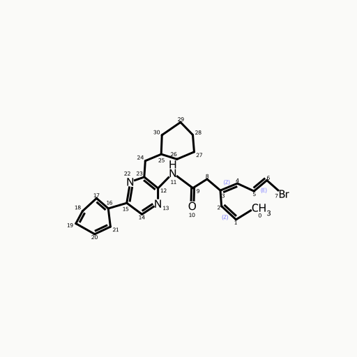 C\C=C/C(=C\C=C\Br)CC(=O)Nc1ncc(-c2ccccc2)nc1CC1CCCCC1